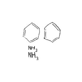 N.N.c1ccccc1.c1ccccc1